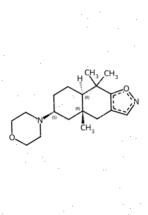 CC1(C)c2oncc2C[C@]2(C)C[C@@H](N3CCOCC3)CC[C@@H]12